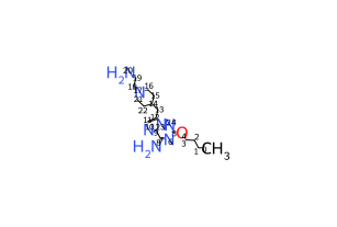 CCCCOc1nc(N)c2ncc(CC3CCN(CCN)CC3)n2n1